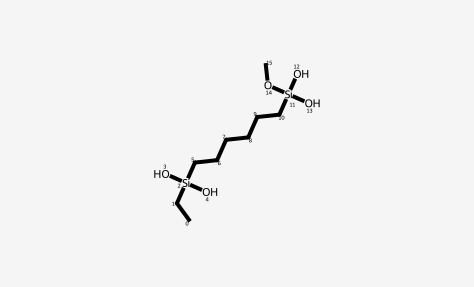 CC[Si](O)(O)CCCCCC[Si](O)(O)OC